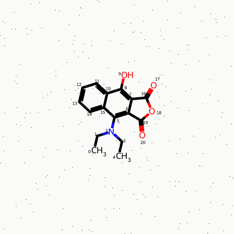 CCN(CC)c1c2c(c(O)c3ccccc13)C(=O)OC2=O